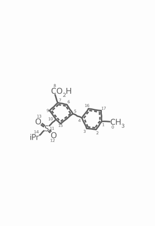 Cc1ccc(-c2cc(C(=O)O)cc(S(=O)(=O)C(C)C)c2)cc1